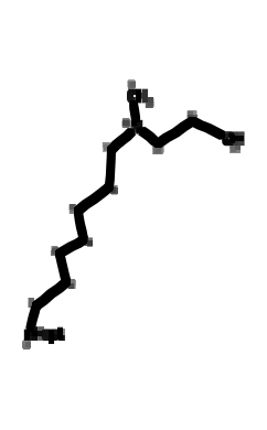 CCCCCCCCCCCCCCN(C)CCO